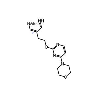 CN/C=C(\C=N)CCOc1nccc(N2CCOCC2)n1